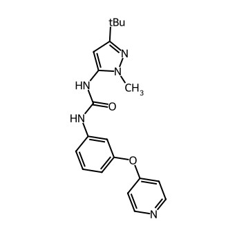 Cn1nc(C(C)(C)C)cc1NC(=O)Nc1cccc(Oc2ccncc2)c1